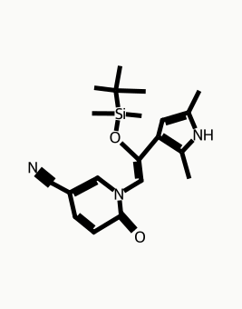 Cc1cc(C(=Cn2cc(C#N)ccc2=O)O[Si](C)(C)C(C)(C)C)c(C)[nH]1